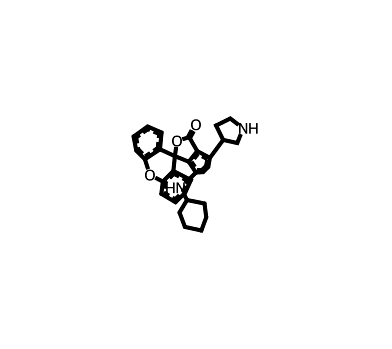 O=C1OC2(c3ccccc3Oc3ccccc32)c2c(NC3CCCCC3)ccc(C3CCNC3)c21